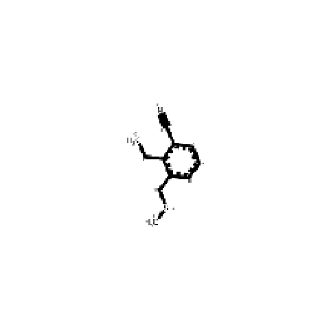 CCc1c(C#N)cccc1[CH]OC